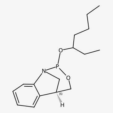 CCCCC(CC)OP1OC[C@@H]2CN1c1ccccc12